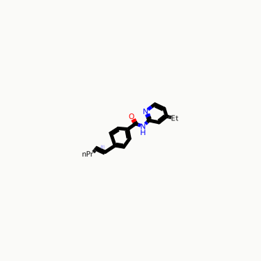 CCC/C=C/c1ccc(C(=O)Nc2cc(CC)ccn2)cc1